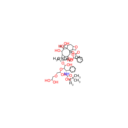 CC(=O)O[C@@]12COC1CC(O)C1(C)C(O)C(O)C3C(C)[C@@H](OC(O)[C@H](OC(O)COCC(O)O)[C@@H](NC(O)OC(C)(C)C)c4ccccc4)CC(O)([C@@H](OC(O)c4ccccc4)[C@@H]12)C3(C)C